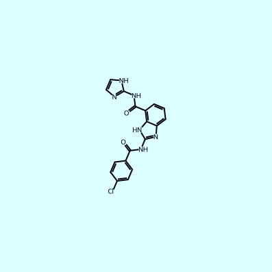 O=C(Nc1nc2cccc(C(=O)Nc3ncc[nH]3)c2[nH]1)c1ccc(Cl)cc1